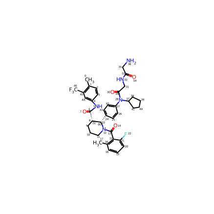 Cc1ccc(NC(=O)[C@H]2CCCN(C(=O)c3c(C)cccc3F)[C@H]2c2ccc(N(C(=O)CNC(=O)CN)C3CCCC3)cc2)cc1C(F)(F)F